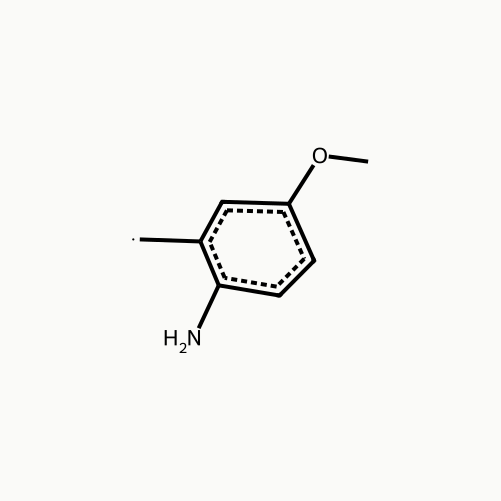 [CH2]c1cc(OC)ccc1N